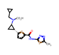 Cc1nnc(NC(=O)c2ccc([C@@H]3C[C@H]3N(CC3CC3)C(=O)O)s2)s1